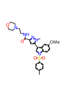 COc1ccc2c(c1)c(-c1cc(C(=O)NCCN3CCOCC3)nn1C)cn2S(=O)(=O)c1ccc(C)cc1